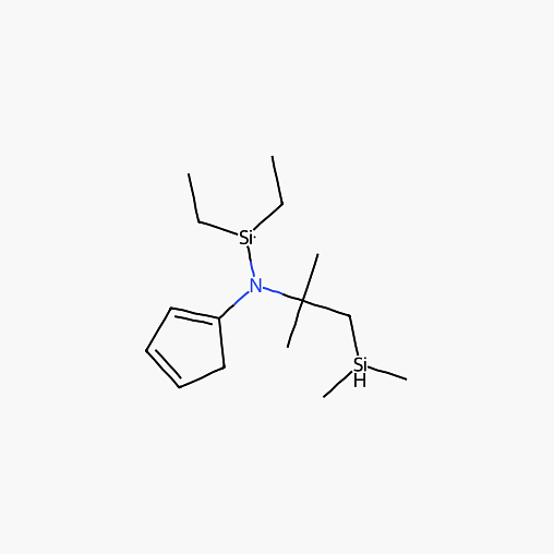 CC[Si](CC)N(C1=CC=CC1)C(C)(C)C[SiH](C)C